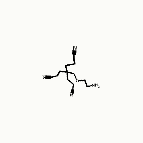 N#CCCC(CCC#N)(CCC#N)COCCN